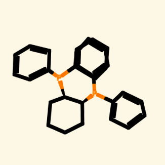 c1ccc(P(c2ccccc2)[C@@H]2CCCC[C@@H]2P(c2ccccc2)c2ccccc2)cc1